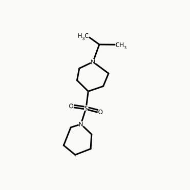 CC(C)N1CCC(S(=O)(=O)N2CC[CH]CC2)CC1